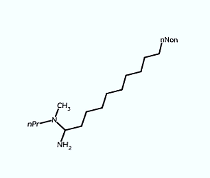 CCCCCCCCCCCCCCCCCCC(N)N(C)CCC